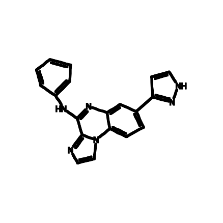 c1ccc(Nc2nc3cc(-c4cc[nH]n4)ccc3n3ccnc23)cc1